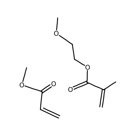 C=C(C)C(=O)OCCOC.C=CC(=O)OC